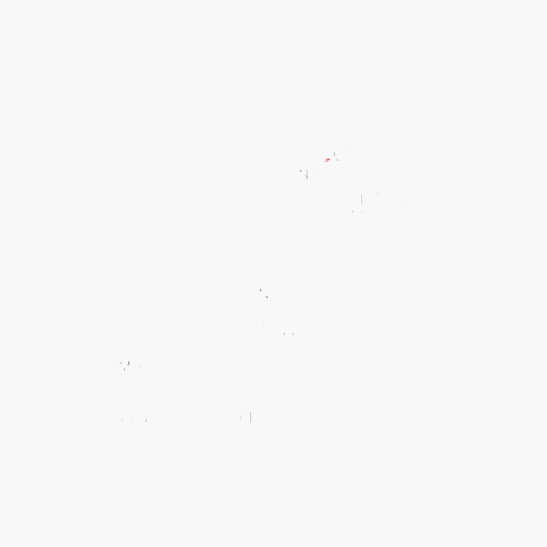 COc1cc(OCC(=O)N(C)CCCCc2cccc(OC(=O)C3([C@@H]4CN5CCC4CC5)CCCCC3)c2)c(Cl)cc1C=O